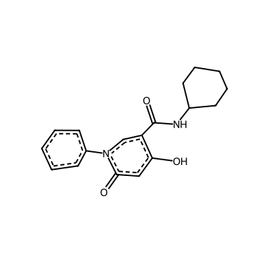 O=C(NC1CCCCC1)c1cn(-c2ccccc2)c(=O)cc1O